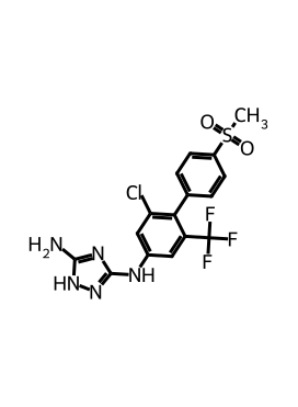 CS(=O)(=O)c1ccc(-c2c(Cl)cc(Nc3n[nH]c(N)n3)cc2C(F)(F)F)cc1